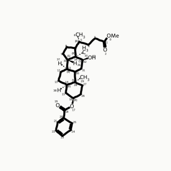 COC(=O)CC[C@@H](C)C1CC[C@H]2[C@@H]3CC[C@@H]4C[C@H](OC(=O)c5ccccc5)CC[C@]4(C)C3C[C@H](O)[C@]12C